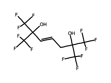 OC(C=CCC(O)(C(F)(F)F)C(F)(F)F)(C(F)(F)F)C(F)(F)F